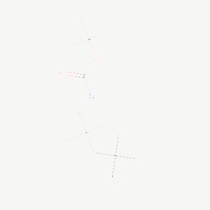 CCC(C)(CC)CC(C)(C)CNC(=O)OC(C)(C)C